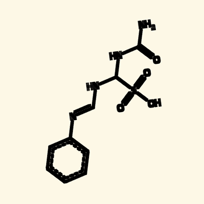 NC(=O)NC(NC=Nc1ccccc1)S(=O)(=O)O